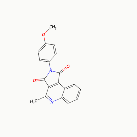 COc1ccc(N2C(=O)c3c(C)nc4ccccc4c3C2=O)cc1